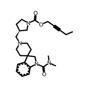 CCC#CCOC(=O)N1CC[C@H](CN2CCC3(CC2)CN(C(=O)N(C)C)c2ccccc23)C1